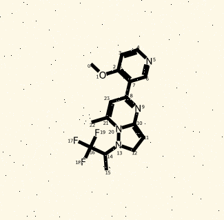 COc1ccncc1C1=NC2=CCN(C(C)C(F)(F)F)N2C(C)=C1